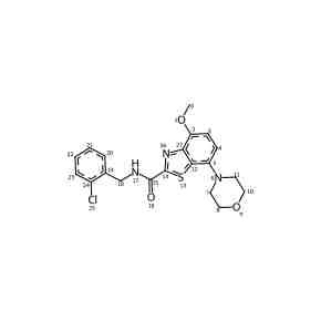 COc1ccc(N2CCOCC2)c2sc(C(=O)NCc3ccccc3Cl)nc12